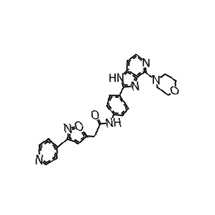 O=C(Cc1cc(-c2ccncc2)no1)Nc1ccc(-c2nc3c(N4CCOCC4)nccc3[nH]2)cc1